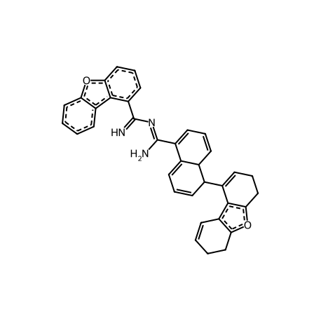 N=C(/N=C(\N)C1=CC=CC2C1=CC=CC2C1=CCCc2oc3c(c21)C=CCC3)c1cccc2oc3ccccc3c12